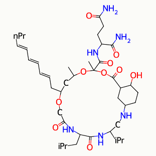 CCC/C=C/C=C/C=C/CC1CC(C)OC(C)(C(=O)NC(CCC(N)=O)C(N)=O)OC(=O)C2CC(CCC2O)NCC(C(C)C)NC(=O)C(CC(C)C)NC(=O)CO1